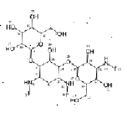 OCC1OC(OC2C(NF)CC(NF)C(OC3OC(CO)C(O)C(NF)C3O)C2O)C(O)C(O)C1O